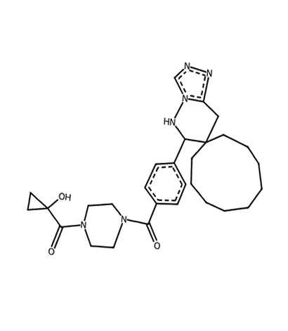 O=C(c1ccc(C2Nn3cnnc3CC23CCCCCCCCC3)cc1)N1CCN(C(=O)C2(O)CC2)CC1